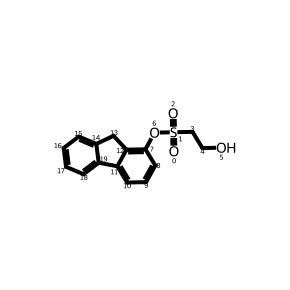 O=S(=O)(CCO)Oc1cccc2c1Cc1ccccc1-2